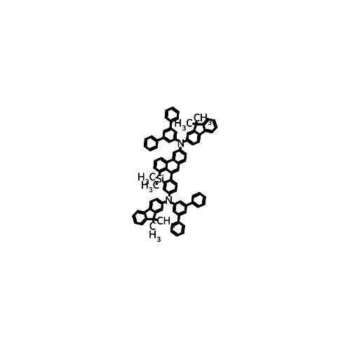 CC1(C)c2ccccc2-c2ccc(N(c3cc(-c4ccccc4)cc(-c4ccccc4)c3)c3ccc4c(c3)[Si](C)(C)c3cccc5c3c-4cc3ccc(N(c4cc(-c6ccccc6)cc(-c6ccccc6)c4)c4ccc6c(c4)C(C)(C)c4ccccc4-6)cc35)cc21